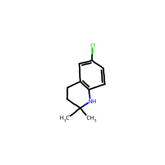 CC1(C)CCc2cc(Cl)ccc2N1